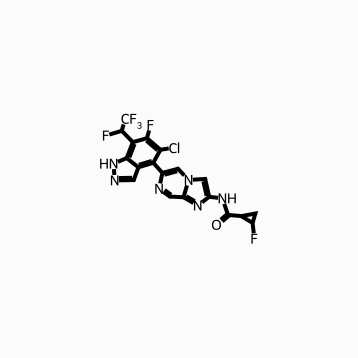 O=C(Nc1cn2cc(-c3c(Cl)c(F)c(C(F)C(F)(F)F)c4[nH]ncc34)ncc2n1)C1CC1F